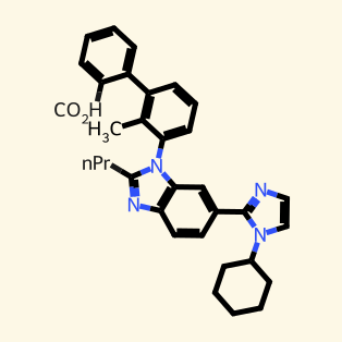 CCCc1nc2ccc(-c3nccn3C3CCCCC3)cc2n1-c1cccc(-c2ccccc2C(=O)O)c1C